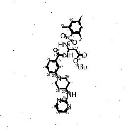 Cc1cc(C)c(S(=O)(=O)NC(CC(=O)OC(C)(C)C)NC(=O)c2cccc(N3CCC(Nc4ncccn4)CC3)c2)c(C)c1